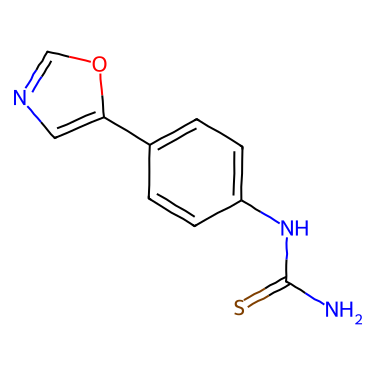 NC(=S)Nc1ccc(-c2cnco2)cc1